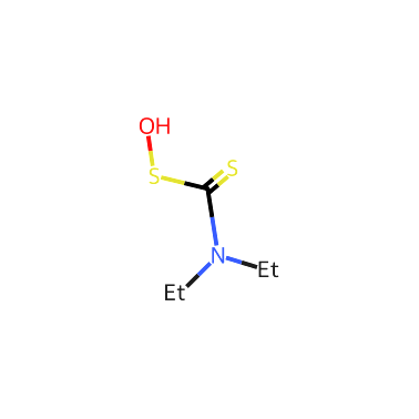 CCN(CC)C(=S)SO